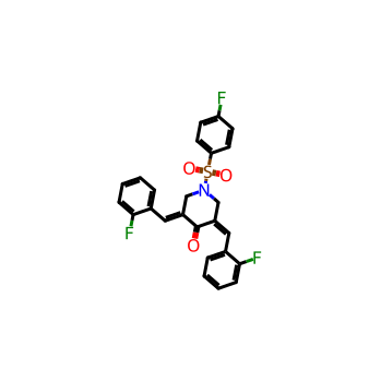 O=C1C(=Cc2ccccc2F)CN(S(=O)(=O)c2ccc(F)cc2)CC1=Cc1ccccc1F